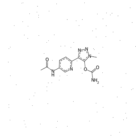 CC(=O)Nc1ccc(-c2nnn(C)c2OC(N)=O)nc1